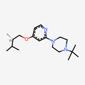 CC(C)[C@H](C)COc1ccnc(N2CCN(C(C)(C)C)CC2)c1